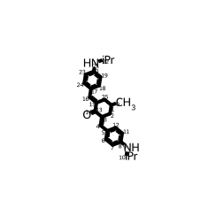 CC1C/C(=C\c2ccc(NC(C)C)cc2)C(=O)/C(=C/c2ccc(NC(C)C)cc2)C1